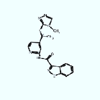 C[C@H](Sc1nncn1C)c1ccnc(NC(=O)c2noc3ccccc23)c1